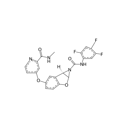 CNC(=O)c1cc(Oc2ccc3c(c2)[C@@H]2C(O3)N2C(=O)Nc2cc(F)c(F)cc2F)ccn1